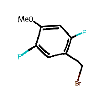 COc1cc(F)c(CBr)cc1F